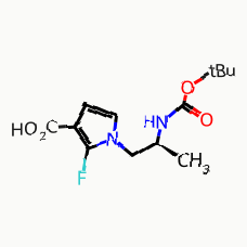 C[C@@H](Cn1ccc(C(=O)O)c1F)NC(=O)OC(C)(C)C